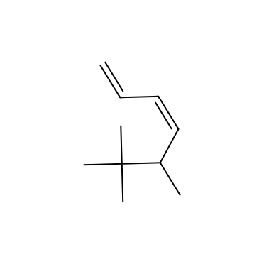 C=C/C=C\C(C)C(C)(C)C